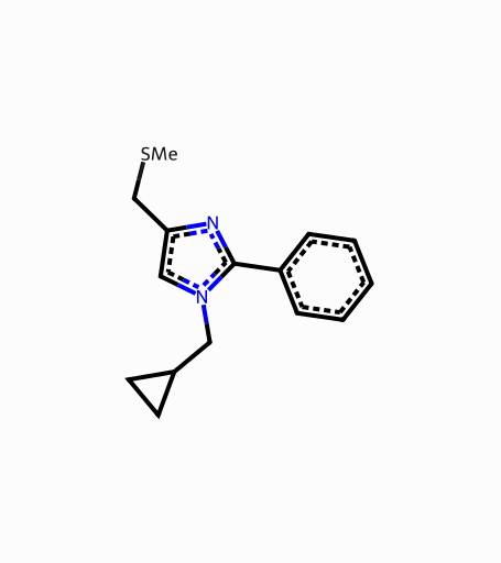 CSCc1cn(CC2CC2)c(-c2ccccc2)n1